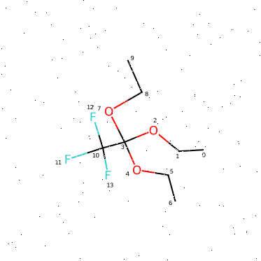 CCOC(OCC)(OCC)C(F)(F)F